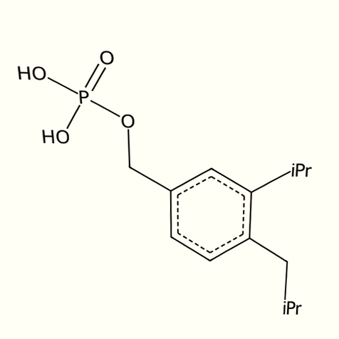 CC(C)Cc1ccc(COP(=O)(O)O)cc1C(C)C